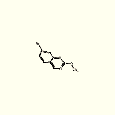 COc1ncc2ccc(Br)cc2n1